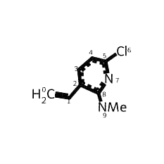 C=Cc1ccc(Cl)nc1NC